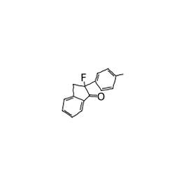 Cc1ccc(C2(F)Cc3ccccc3C2=O)cc1